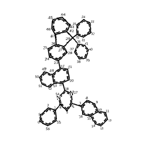 c1ccc(-c2cc(-c3ccc4ccccc4c3)nc(-c3ccc(-c4ccc5c(c4)C(c4ccccc4)(c4ccccc4)c4ccccc4-5)c4ccccc34)n2)cc1